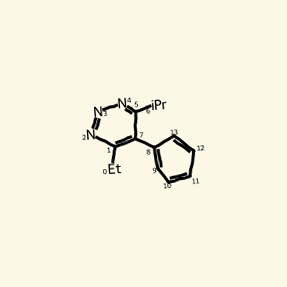 CCc1nnnc(C(C)C)c1-c1ccccc1